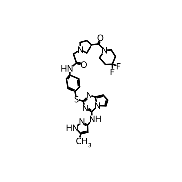 Cc1cc(Nc2nc(Sc3ccc(NC(=O)CN4CCC(C(=O)N5CCC(F)(F)CC5)C4)cc3)nc3cccn23)n[nH]1